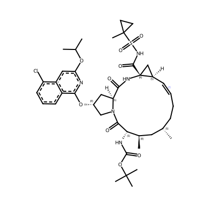 CC(C)Oc1cc2c(Cl)cccc2c(O[C@@H]2C[C@H]3C(=O)N[C@]4(C(=O)NS(=O)(=O)C5(C)CC5)C[C@H]4/C=C\CC[C@H](C)C[C@@H](C)[C@H](NC(=O)OC(C)(C)C)C(=O)N3C2)n1